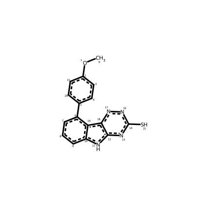 COc1ccc(-c2cccc3[nH]c4nc(S)nnc4c23)cc1